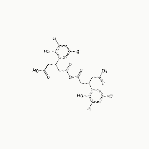 O=C(O)CC(CC(=O)OC(=O)CC(CC(=O)O)c1cc(Cl)cc(Cl)c1O)c1cc(Cl)cc(Cl)c1O